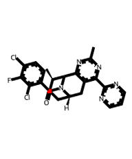 Cc1nc(-c2ncccn2)c2c(n1)C1[C@H](C)CC[C@@H](C2)N1C(=O)c1ccc(Cl)c(F)c1Cl